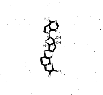 Cc1ncnc2c1ccn2[C@@H]1O[C@@H]2[C@H](Cc3ccc4cc(Cl)c(N)nc4c3F)CC[C@]2(O)[C@H]1O